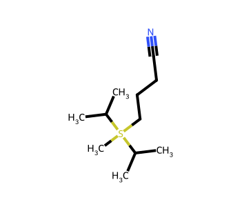 CC(C)S(C)(CCCC#N)C(C)C